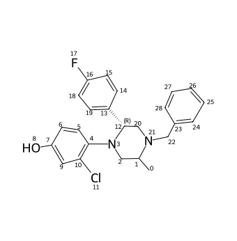 CC1CN(c2ccc(O)cc2Cl)[C@H](c2ccc(F)cc2)CN1Cc1ccccc1